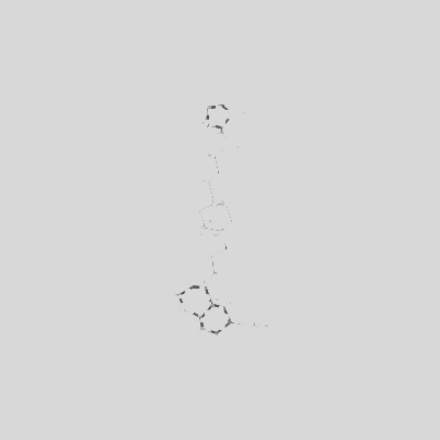 COc1ccc2nccc(CCC[C@@H]3CCN(CCCSc4ncco4)C[C@@H]3C(=O)O)c2c1